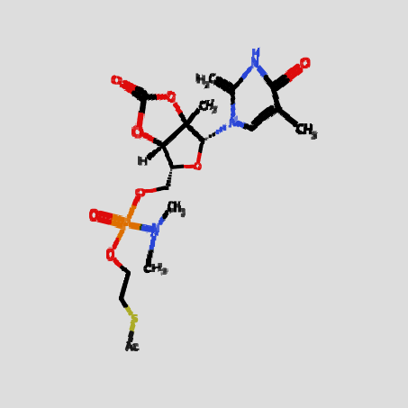 C=C1NC(=O)C(C)=CN1[C@@H]1O[C@H](COP(=O)(OCCSC(C)=O)N(C)C)[C@@H]2OC(=O)OC21C